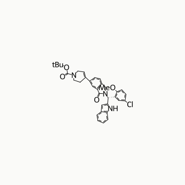 COc1ccc(Cl)cc1[C@H](c1cc2ccccc2[nH]1)N1Cc2ccc(C3=CCN(C(=O)OC(C)(C)C)CC3)cc2C1=O